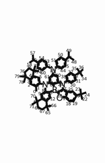 Cc1cc2c(cc1N1c3cc4c(cc3B3c5oc6ccc(C(C)(C)C)cc6c5N(c5ccc(C(C)(C)C)cc5)c5cc(N(c6ccc(C(C)C)cc6)c6ccc(C(C)C)cc6)cc1c53)C(C)(C)CCC4(C)C)C(C)(C)CCC2(C)C